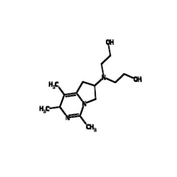 CC1=NC(C)C(C)=C2CC(N(CCO)CCO)CN12